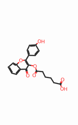 O=C(O)CCCCC(=O)Oc1c(-c2ccc(O)cc2)oc2ccccc2c1=O